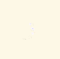 COc1ccc(CN2Cc3cn(-c4ccc(Cl)nc4)nc3C2=O)cc1